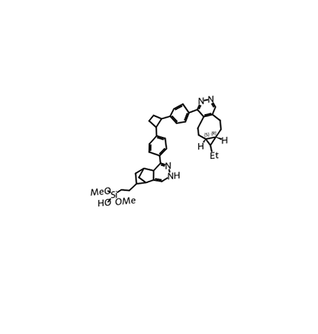 CCC1[C@H]2CCc3cnnc(-c4ccc(C5CCC5c5ccc(C6=NNC=C7C8CC(CC8CC[Si](O)(OC)OC)C76)cc5)cc4)c3CC[C@@H]12